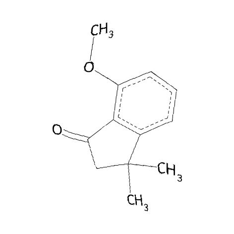 COc1cccc2c1C(=O)CC2(C)C